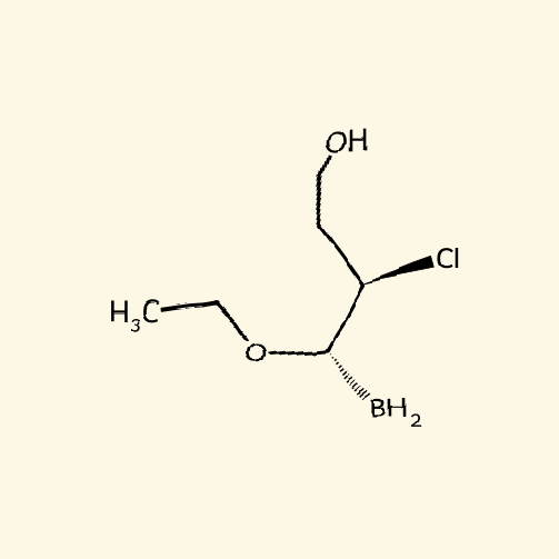 B[C@H](OCC)[C@H](Cl)CO